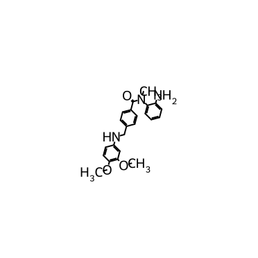 COc1ccc(NCc2ccc(C(=O)N(C)c3ccccc3N)cc2)cc1OC